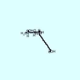 CCN[C@@H](CCCCNC(=O)CC[C@H](NC(=O)CCCCCCCCCCCCCCCCCCC(=O)O)C(=O)O)C(=O)O